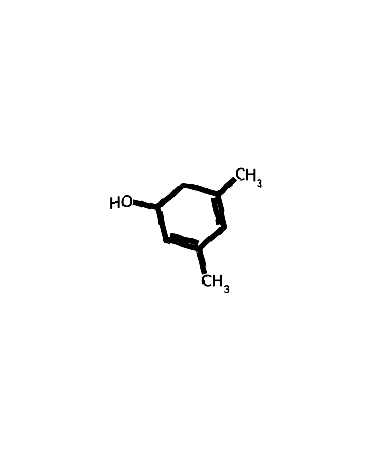 CC1=C[C](O)CC(C)=C1